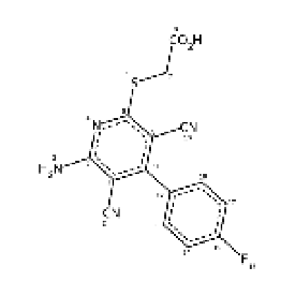 N#Cc1c(N)nc(SCC(=O)O)c(C#N)c1-c1ccc(F)cc1